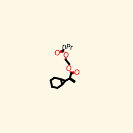 C=C(C(=O)OCCOC(=O)CCC)C1C2CCCCC21